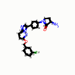 NC1CCN(c2ccc(-c3cnc4ccc(OCc5cccc(F)c5)nn34)cc2)C1=O